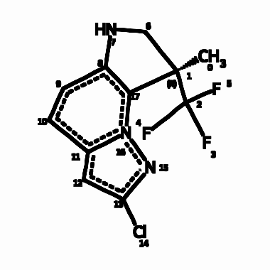 C[C@@]1(C(F)(F)F)CNc2ccc3cc(Cl)nn3c21